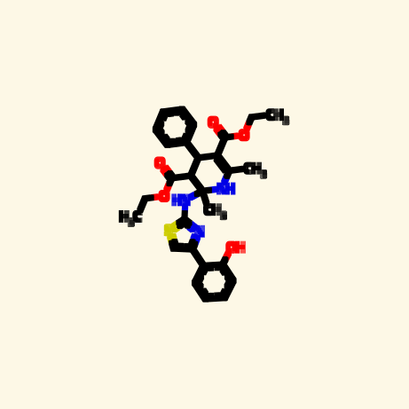 CCOC(=O)C1=C(C)NC(C)(Nc2nc(-c3ccccc3O)cs2)C(C(=O)OCC)C1c1ccccc1